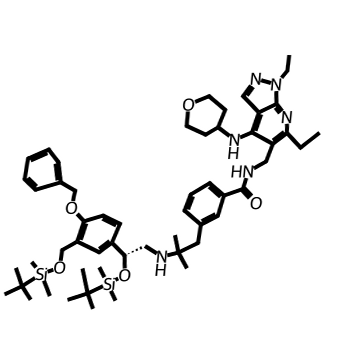 CCc1nc2c(cnn2CC)c(NC2CCOCC2)c1CNC(=O)c1cccc(CC(C)(C)NC[C@H](O[Si](C)(C)C(C)(C)C)c2ccc(OCc3ccccc3)c(CO[Si](C)(C)C(C)(C)C)c2)c1